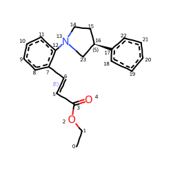 CCOC(=O)/C=C/c1ccccc1N1CC[C@@H](c2ccccc2)C1